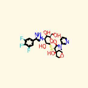 CN(C(=O)[C@@H](S[C@@H]1O[C@H](CO)[C@H](O)[C@H](n2cc(-c3cc(F)c(F)c(F)c3)nn2)[C@H]1O)C1(O)CCOCC1)c1cccnc1